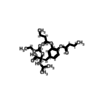 CCCC(=O)Oc1ccc(C[C@](NC(C)C)(OC(=O)OCC)C(=O)O)cc1OC(=O)CCC